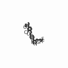 CCN(c1ccc(CC(=O)N2CCN(C3=NC=NC4SC(CC(F)(F)F)=CC34)CC2)c(Cl)c1)[S+](C)[O-]